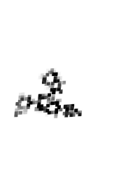 CNNc1ccc2nc(-c3cccc(F)c3)nc(-n3ccc4cnccc43)c2c1